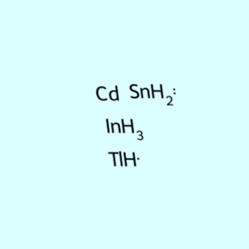 [Cd].[InH3].[SnH2].[TlH]